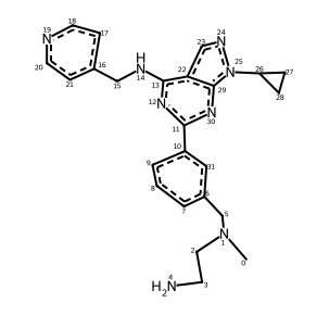 CN(CCN)Cc1cccc(-c2nc(NCc3ccncc3)c3cnn(C4CC4)c3n2)c1